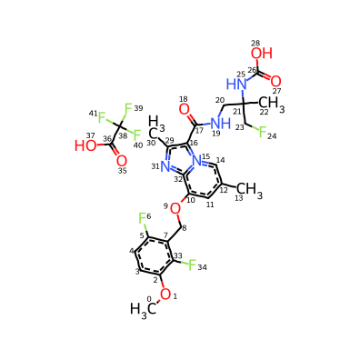 COc1ccc(F)c(COc2cc(C)cn3c(C(=O)NCC(C)(CF)NC(=O)O)c(C)nc23)c1F.O=C(O)C(F)(F)F